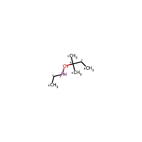 CCPOC(C)(C)CC